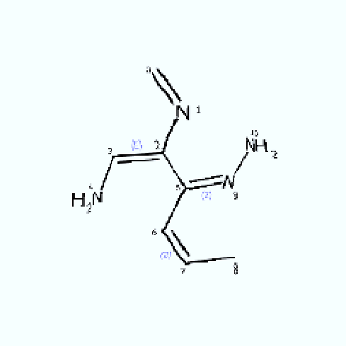 C=NC(=C/N)/C(/C=C\C)=N\N